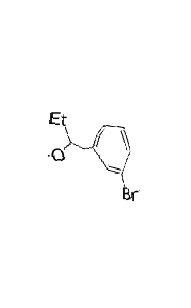 CCC([O])c1cccc(Br)c1